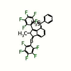 CC1C(=Bc2c(F)c(F)c(F)c(F)c2F)c2cccc(=[Si](C)c3ccccc3)c2=C1c1c(F)c(F)c(F)c(F)c1F